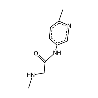 CNCC(=O)Nc1ccc(C)nc1